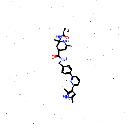 Cc1cc(-c2cccc(-c3ccc(CNC(=O)C4CC(C)NC(C)(NC(=O)C(C)(C)C)C4)cc3)n2)c(C)[nH]1